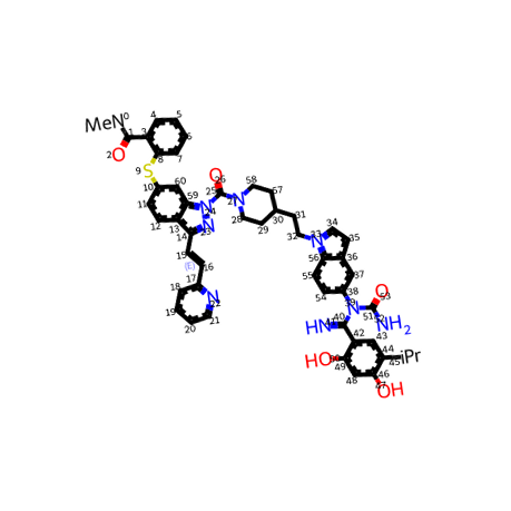 CNC(=O)c1ccccc1Sc1ccc2c(/C=C/c3ccccn3)nn(C(=O)N3CCC(CCn4ccc5cc(N(C(=N)c6cc(C(C)C)c(O)cc6O)C(N)=O)ccc54)CC3)c2c1